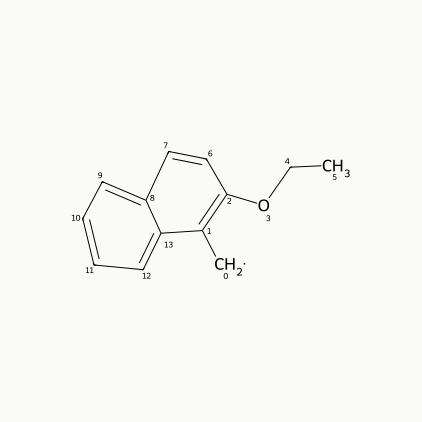 [CH2]c1c(OCC)ccc2ccccc12